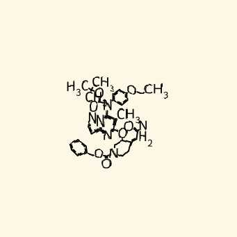 CCOc1ccc(N(C(=O)OC(C)(C)C)c2c(C)c(O[C@@H]3CN(C(=O)OCc4ccccc4)CC/C3=C/C(N)=O)nc3ccnn23)cc1